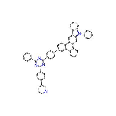 c1ccc(-c2nc(-c3ccc(-c4cccnc4)cc3)nc(-c3ccc(-c4ccc5c(c4)c4ccccc4c4cc6c(cc54)c4ccccc4n6-c4ccccc4)cc3)n2)cc1